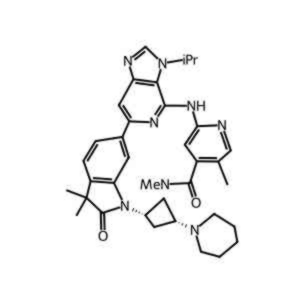 CNC(=O)c1cc(Nc2nc(-c3ccc4c(c3)N([C@H]3C[C@@H](N5CCCCC5)C3)C(=O)C4(C)C)cc3ncn(C(C)C)c23)ncc1C